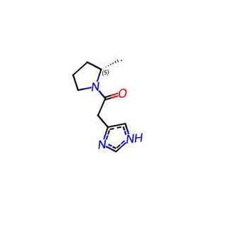 [CH2][C@H]1CCCN1C(=O)Cc1c[nH]cn1